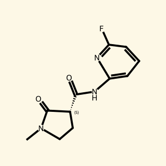 CN1CC[C@@H](C(=O)Nc2cccc(F)n2)C1=O